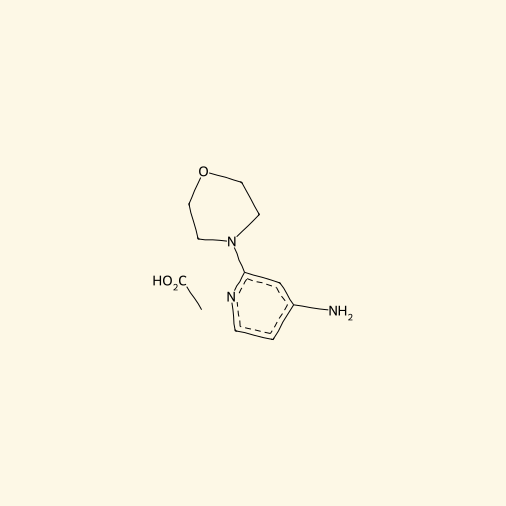 CC(=O)O.Nc1ccnc(N2CCOCC2)c1